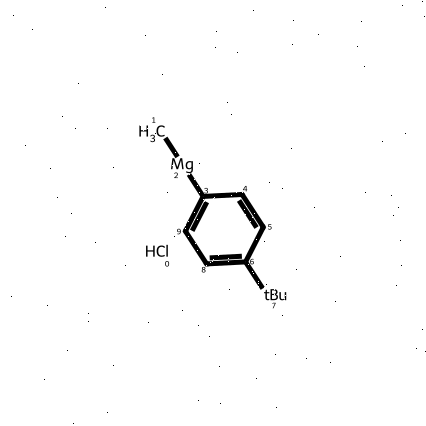 Cl.[CH3][Mg][c]1ccc(C(C)(C)C)cc1